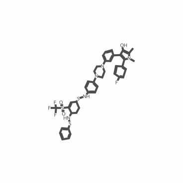 Cc1c(O)c(-c2cccc(N3CCN(c4ccc(NSC5C=C(S(=O)(=O)C(F)(F)F)C(NSc6ccccc6)CC5)cc4)CC3)c2)c(-c2ccc(F)cc2)n1C